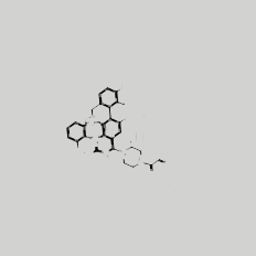 C=CC(=C)N1CCN(c2nc(=O)n(-c3c(C)cccc3Cl)c3c4c(c(Cl)cc23)-c2c(ccc(C)c2P)CO4)[C@@H](C)C1